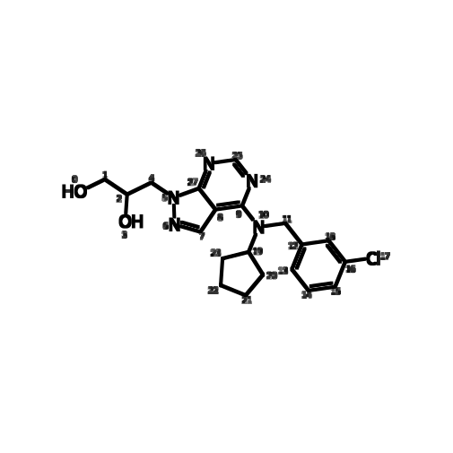 OCC(O)Cn1ncc2c(N(Cc3cccc(Cl)c3)C3CCCC3)ncnc21